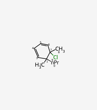 CCCC1(C)C=CC=CC1(C)Cl